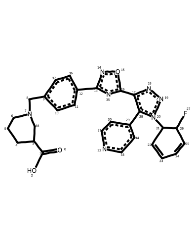 O=C(O)C1CCCN(Cc2ccc(-c3noc(-c4nnn(C5C=CC=CC5F)c4-c4ccncc4)n3)cc2)C1